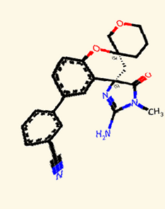 CN1C(=O)[C@@]2(C[C@]3(CCCOC3)Oc3ccc(-c4cccc(C#N)c4)cc32)N=C1N